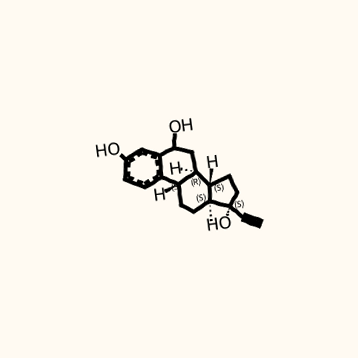 C#C[C@]1(O)CC[C@H]2[C@@H]3CC(O)c4cc(O)ccc4[C@H]3CC[C@@]21C